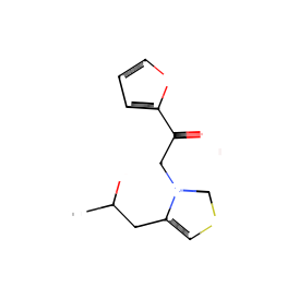 Br.CCCC(O)CC1=CSCN1CC(=O)c1ccco1